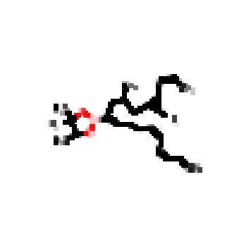 C=C/C=C\C=C/CC/C=C(\C[C@@H](C)CC1=C(/C=C\C)C1C)B1OC(C)C(C)(C)O1